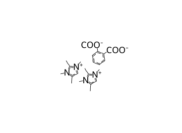 Cc1c[n+](C)c(C)n1C.Cc1c[n+](C)c(C)n1C.O=C([O-])c1ccccc1C(=O)[O-]